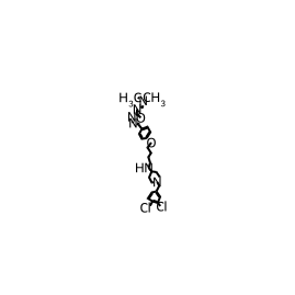 CN(C)C=Nc1nnc(-c2ccc(OCCCCNC3CCN(Cc4ccc(Cl)c(Cl)c4)CC3)cc2)o1